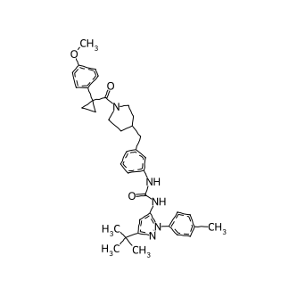 COc1ccc(C2(C(=O)N3CCC(Cc4cccc(NC(=O)Nc5cc(C(C)(C)C)nn5-c5ccc(C)cc5)c4)CC3)CC2)cc1